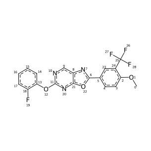 COc1ccc(-c2nc3cnc(Oc4ccccc4F)nc3o2)cc1C(F)(F)F